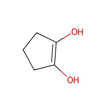 OC1=C(O)CCC1